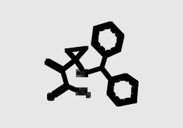 C=C(C(N)=O)C1(NC(c2ccccc2)c2ccccc2)CC1